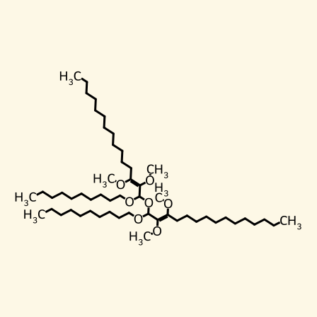 CCCCCCCCCCCCC(OC)=C(OC)C(OCCCCCCCCCC)OC(OCCCCCCCCCC)C(OC)=C(CCCCCCCCCCCC)OC